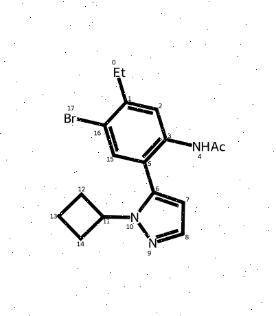 CCc1cc(NC(C)=O)c(-c2ccnn2C2CCC2)cc1Br